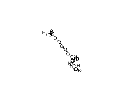 CS(=O)(=O)OCCOCCOCCOCCOCCOCCOc1cc2ncnc(Nc3cccc(Br)c3)c2cc1[N+](=O)[O-]